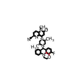 C[C@@H]1CN(c2cc(=O)n(C)c3ccc(C#N)nc23)[C@@H](C)CN1C(c1ccc(F)cc1)c1ccccc1N1CCOCC1